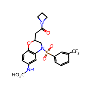 O=C(O)Nc1ccc2c(c1)N(S(=O)(=O)c1cccc(C(F)(F)F)c1)CC(CC(=O)N1CCC1)O2